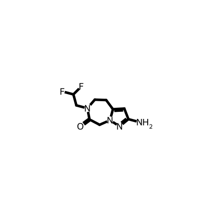 Nc1cc2n(n1)CC(=O)N(CC(F)F)CC2